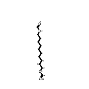 O=COCCCCCCCCCCOC=O